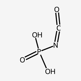 O=C=NP(=O)(O)O